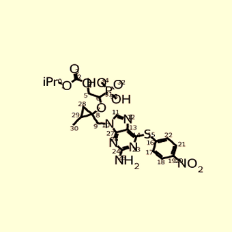 CC(C)OC(=O)OCC(OC1(Cn2cnc3c(Sc4ccc([N+](=O)[O-])cc4)nc(N)nc32)CC1C)P(=O)(O)O